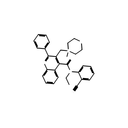 CCN(C(=O)c1c(C[N+]2([O-])CCOCC2)c(-c2ccccc2)nc2ccccc12)c1ccccc1C#N